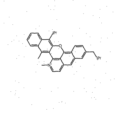 Cc1c2c(c(C(C)C)c3ccccc13)Oc1c3ccc(CC(C)C)cc3cc3cc[n+](C)c-2c13